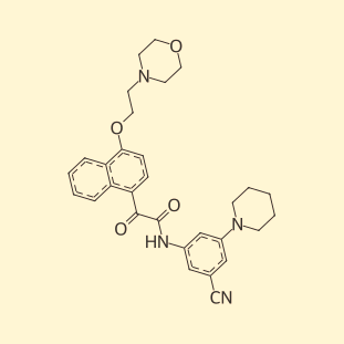 N#Cc1cc(NC(=O)C(=O)c2ccc(OCCN3CCOCC3)c3ccccc23)cc(N2CCCCC2)c1